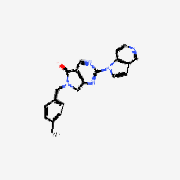 COc1ccc(CN2Cc3nc(-n4ccc5cnccc54)ncc3C2=O)cc1